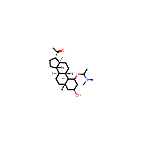 CC(=O)[C@H]1CC[C@H]2[C@@H]3CC[C@H]4C[C@H](O)CC(OC(C)N(C)C)[C@]4(C)[C@H]3CC[C@]12C